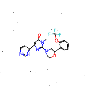 Cn1c(N2CCOC(c3ccccc3OC(F)(F)F)C2)nc(-c2ccncn2)cc1=O